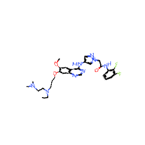 CCN(CCCOc1cc2ncnc(Nc3cnn(CC(=O)Nc4cccc(F)c4F)c3)c2cc1OC)CCN(C)C